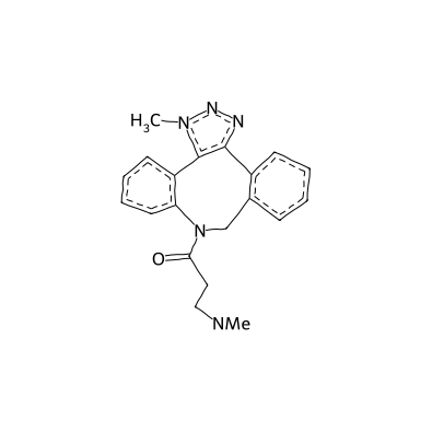 CNCCC(=O)N1Cc2ccccc2-c2nnn(C)c2-c2ccccc21